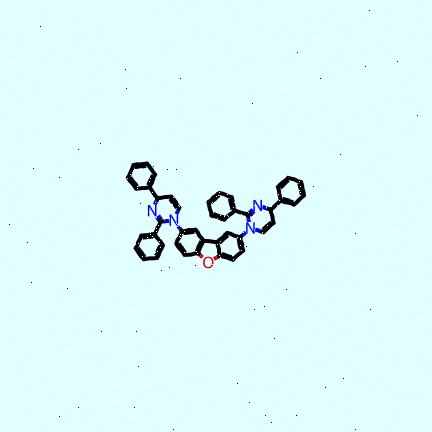 C1=CN(c2ccc3oc4ccc(N5C=CC(c6ccccc6)N=C5c5ccccc5)cc4c3c2)C(c2ccccc2)=NC1c1ccccc1